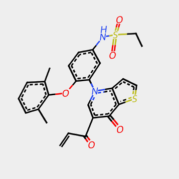 C=CC(=O)c1cn(-c2cc(NS(=O)(=O)CC)ccc2Oc2c(C)cccc2C)c2ccsc2c1=O